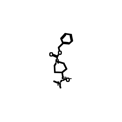 CN(C)[S+]([O-])C1CCN(C(=O)OCc2ccccc2)CC1